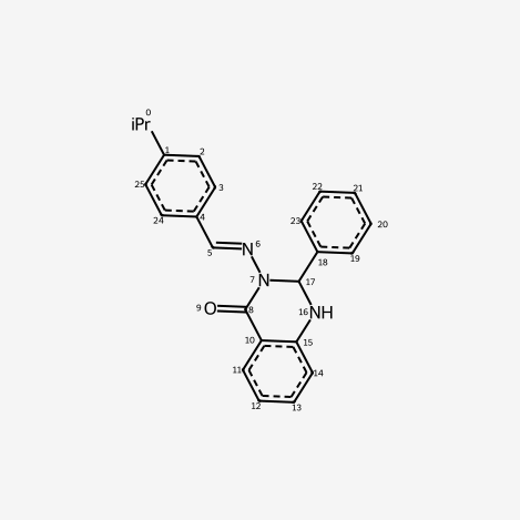 CC(C)c1ccc(C=NN2C(=O)c3ccccc3NC2c2ccccc2)cc1